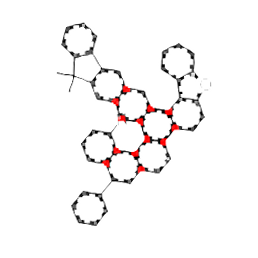 CC1(C)c2ccccc2-c2ccc(N(c3ccccc3-c3ccc(-c4ccccc4)cc3)c3ccccc3-c3cccc4c5ccc6oc7ccccc7c6c5c5ccccc5c34)cc21